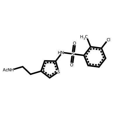 CC(=O)NCCc1csc(NS(=O)(=O)c2cccc(Cl)c2C)c1